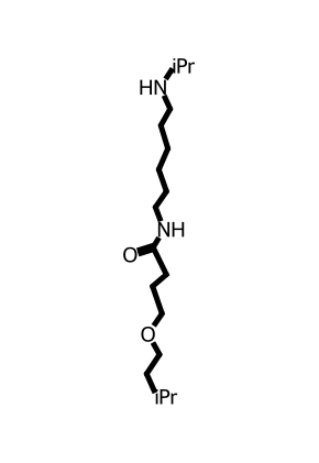 CC(C)CCOCCCC(=O)NCCCCCCNC(C)C